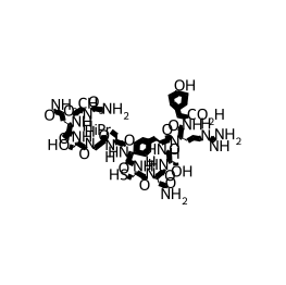 CC(C)C[C@H](NC(=O)CNC(=O)[C@H](CO)NC(=O)[C@H](CCC(N)=O)NC(=O)[C@H](C)NC(=O)CN)C(=O)NCC(=O)N[C@@H](CS)C(=O)N[C@@H](CC(N)=O)C(=O)N[C@@H](CO)C(=O)N[C@@H](Cc1ccccc1)C(=O)N[C@@H](CCCNC(=N)N)C(=O)N[C@@H](Cc1ccc(O)cc1)C(=O)O